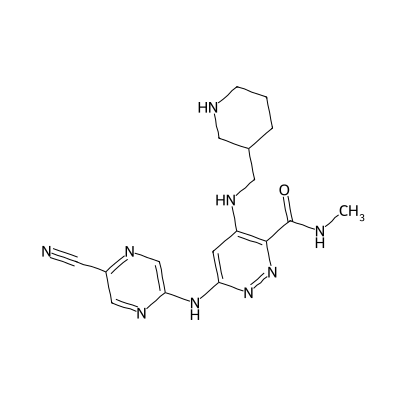 CNC(=O)c1nnc(Nc2cnc(C#N)cn2)cc1NCC1CCCNC1